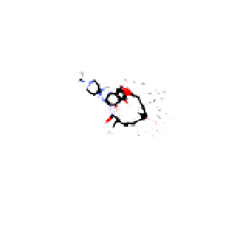 COc1c(C)c(O)c2c3c1C(=O)O/C=C/[C@H](OC)[C@@H](C)[C@@H](OC(C)=O)[C@H](C)[C@H](O)[C@H](C)[C@@H](O)[C@@H](C)/C=C/C=C(/C)C(=O)NC(=C1NC4(CCN(CC(C)C)CC4)N=C13)C2=O